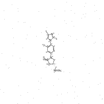 CC(=O)NC[C@H]1CN(c2ccc(-n3cc(C)nc3C)c(F)c2)C(=O)O1